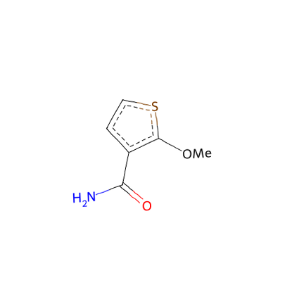 COc1sccc1C(N)=O